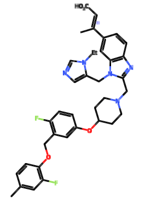 CCn1cncc1Cn1c(CN2CCC(Oc3ccc(F)c(COc4ccc(C)cc4F)c3)CC2)nc2ccc(/C(C)=C/C(=O)O)cc21